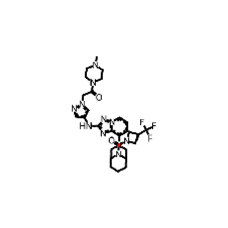 CN1CCN(C(=O)Cn2cc(Nc3nc4c(N5CC6CCCC(C5)N6C(=O)N5CC(C(F)(F)F)C5)cccn4n3)cn2)CC1